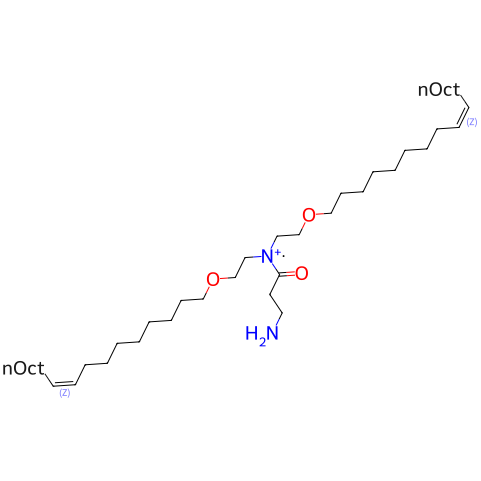 CCCCCCCC/C=C\CCCCCCCCOCC[N+](CCOCCCCCCCC/C=C\CCCCCCCC)C(=O)CCN